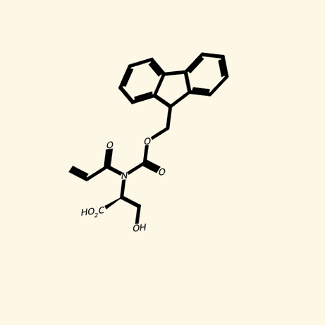 C=CC(=O)N(C(=O)OCC1c2ccccc2-c2ccccc21)[C@@H](CO)C(=O)O